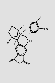 N#Cc1cc([C@@H]2Nc3cc4c(cc3[C@H]3[C@@H]5CC[C@@H](C5)[C@H]32)C(=O)NC4=O)ccc1F